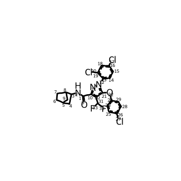 O=C(NC1CC2CCC1C2)c1nn(-c2ccc(Cl)cc2Cl)c(Oc2ccc(Cl)cc2)c1C(F)F